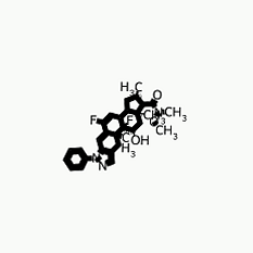 CON(C)C(=O)C1[C@H](C)CC2C3C=C(F)C4=Cc5c(cnn5-c5ccccc5)CC4(C)[C@@]3(F)[C@@H](O)C[C@@]21C